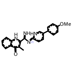 COc1ccc(-c2cc/c(=N/C(=N)c3[nH]c4ccccc4c(=O)c3C)[nH]c2)cc1